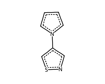 c1ccn(-c2cnsc2)c1